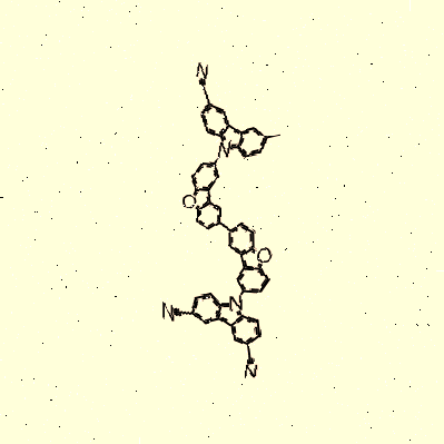 Cc1ccc2c(c1)c1cc(C#N)ccc1n2-c1ccc2oc3ccc(-c4ccc5oc6ccc(-n7c8ccc(C#N)cc8c8cc(C#N)ccc87)cc6c5c4)cc3c2c1